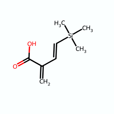 C=C(C=C[Si](C)(C)C)C(=O)O